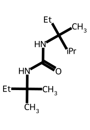 CCC(C)(C)NC(=O)NC(C)(CC)C(C)C